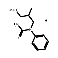 [CH2]C(COC)CN(C(N)=O)c1ccccc1.[H+]